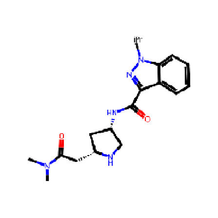 CC(C)n1nc(C(=O)N[C@@H]2CN[C@H](CC(=O)N(C)C)C2)c2ccccc21